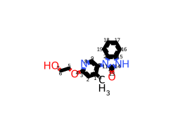 Cc1cc(OCCO)ncc1-n1c(=O)[nH]c2ccccc21